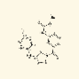 CC(C)(C)OC(=O)Nc1cccc(C(=O)N2CCC(Nc3ncc(Cl)cn3)C2)c1